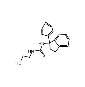 OCCNC(=S)NC1(c2ccccc2)CCc2ccccc21